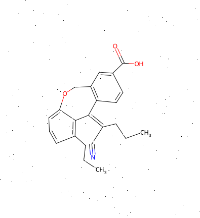 CCCC(C#N)=C1c2ccc(C(=O)O)cc2COc2cccc(CCC)c21